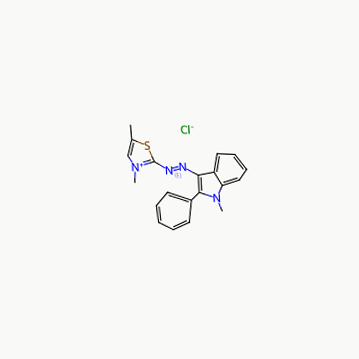 Cc1c[n+](C)c(/N=N/c2c(-c3ccccc3)n(C)c3ccccc23)s1.[Cl-]